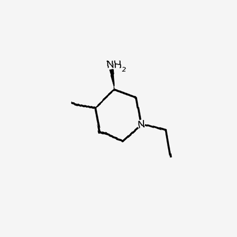 CCN1CCC(C)[C@@H](N)C1